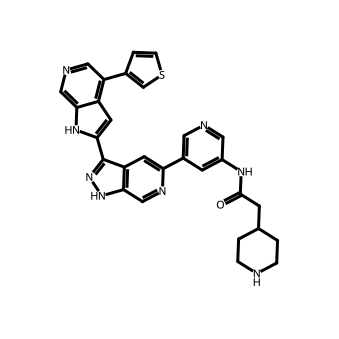 O=C(CC1CCNCC1)Nc1cncc(-c2cc3c(-c4cc5c(-c6ccsc6)cncc5[nH]4)n[nH]c3cn2)c1